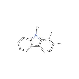 CCn1c2ccccc2c2ccc(C)c(C)c21